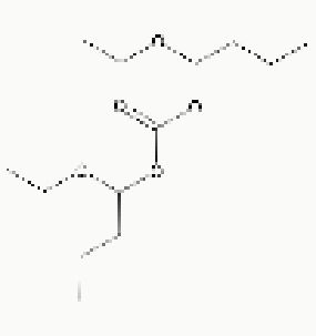 CCCC(OCC)OC(=O)OC(CCC)OCC